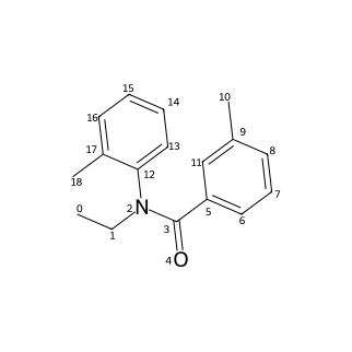 CCN(C(=O)c1cccc(C)c1)c1ccccc1C